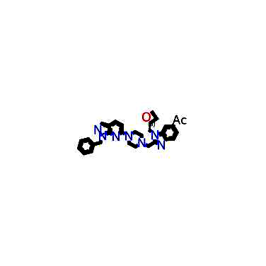 CC(=O)c1ccc2nc(CN3CCN(c4ccc5cnn(Cc6ccccc6)c5n4)CC3)n(C[C@@H]3CCO3)c2c1